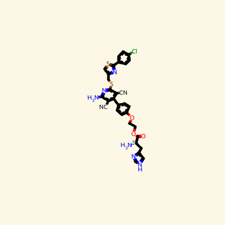 N#Cc1c(N)nc(SCc2csc(-c3ccc(Cl)cc3)n2)c(C#N)c1-c1ccc(OCCOC(=O)[C@@H](N)Cc2c[nH]cn2)cc1